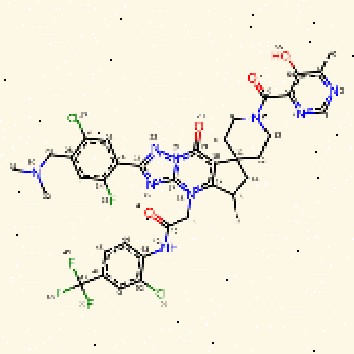 Cc1ncnc(C(=O)N2CCC3(CC2)CC(C)c2c3c(=O)n3nc(-c4cc(Cl)c(CN(C)C)cc4F)nc3n2CC(=O)Nc2ccc(C(F)(F)F)cc2Cl)c1O